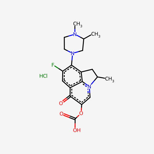 CC1CN(c2c(F)cc3c(=O)c(OC(=O)O)cn4c3c2CC4C)CCN1C.Cl